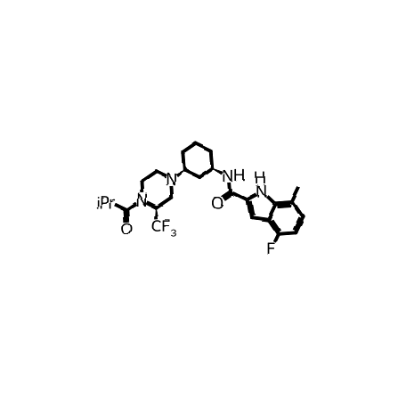 Cc1ccc(F)c2cc(C(=O)N[C@@H]3CCC[C@H](N4CCN(C(=O)C(C)C)[C@H](C(F)(F)F)C4)C3)[nH]c12